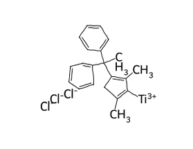 CC1=[C]([Ti+3])C(C)=C(C(C)(c2ccccc2)c2ccccc2)C1.[Cl-].[Cl-].[Cl-]